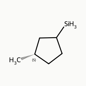 C[C@H]1CCC([SiH3])C1